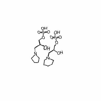 O=S(=O)(O)OCC(O)CN1CCCC1.O=S(=O)(O)OCC(O)CN1CCCCC1